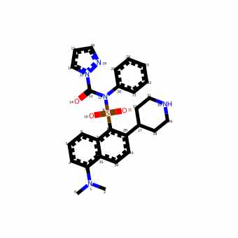 CN(C)c1cccc2c(S(=O)(=O)N(C(=O)n3cccn3)c3ccccc3)c(C3CCNCC3)ccc12